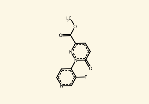 COC(=O)c1ccc(=O)n(-c2ccncc2F)n1